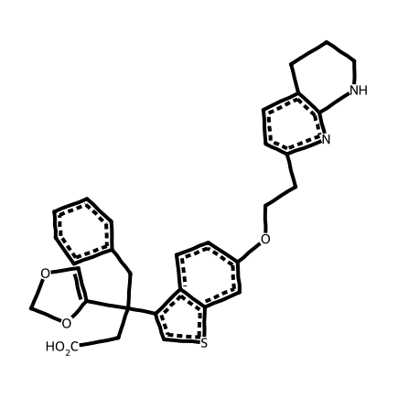 O=C(O)CC(Cc1ccccc1)(C1=COCO1)c1csc2cc(OCCc3ccc4c(n3)NCCC4)ccc12